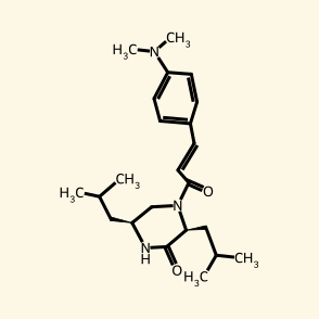 CC(C)C[C@H]1CN(C(=O)C=Cc2ccc(N(C)C)cc2)[C@@H](CC(C)C)C(=O)N1